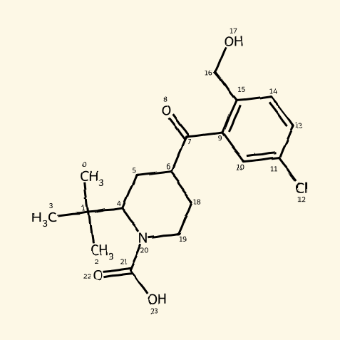 CC(C)(C)C1CC(C(=O)c2cc(Cl)ccc2CO)CCN1C(=O)O